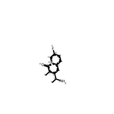 Cc1c(C(C)N)cc2ccc(F)cn2c1=O